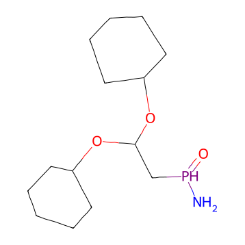 N[PH](=O)CC(OC1CCCCC1)OC1CCCCC1